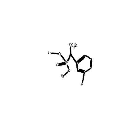 CCOC(=O)C(c1cccc(F)c1)P(=O)(OCC)OCC